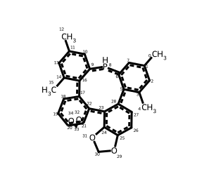 Cc1cc(C)c2c(c1)[pH]c1cc(C)cc(C)c1c1ccc3c(c1c1c4c(ccc21)OCO4)OCO3